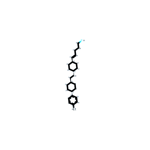 CCc1ccc([C@H]2CC[C@H](CC[C@H]3CC[C@H](C=CCCCF)CC3)CC2)cc1